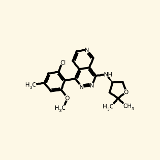 COc1cc(C)cc(Cl)c1-c1nnc(N[C@H]2COC(C)(C)C2)c2cnccc12